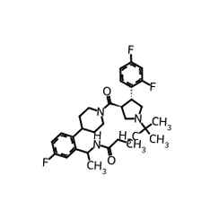 CCC(=O)NC(C)c1cc(F)ccc1C1CCN(C(=O)[C@@H]2CN(C(C)(C)C)C[C@H]2c2ccc(F)cc2F)CC1